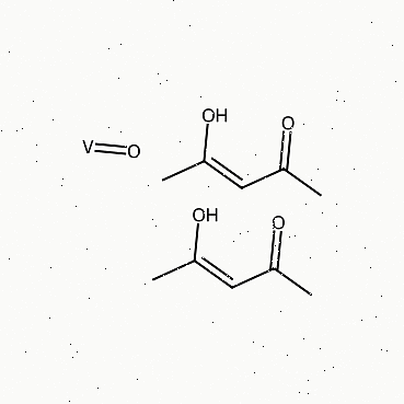 CC(=O)/C=C(/C)O.CC(=O)/C=C(/C)O.[O]=[V]